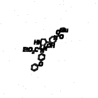 CCOC(=O)c1c2c(nn1-c1ccc(Oc3ccccc3)cc1)C(C1(O)CCN(C(=O)OC(C)(C)C)CC1)CCN2